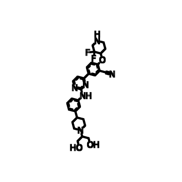 N#Cc1cc(-c2ccnc(Nc3cccc(C4CCN(C(CO)CO)CC4)c3)n2)ccc1OC1CCNCC1(F)F